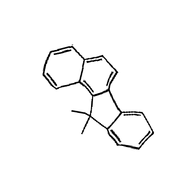 CC1(C)c2ccccc2-c2ccc3[c]cccc3c21